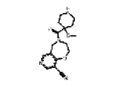 COC1(C(=O)N2CCOc3c(C#N)cncc3C2)CCNCC1